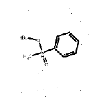 CC(C)(C)O[SH](C)(=O)c1ccccc1